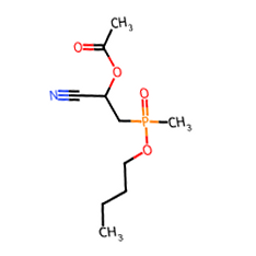 CCCCOP(C)(=O)CC(C#N)OC(C)=O